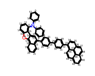 c1ccc(N(c2ccccc2)c2cccc3oc4c5ccccc5c(-c5ccc(-c6ccc(-c7ccc8ccc9cccc%10ccc7c8c9%10)cc6)cc5)cc4c23)cc1